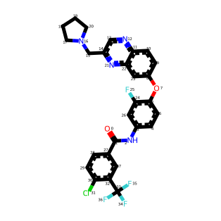 O=C(Nc1ccc(Oc2ccc3ncc(CN4CCCC4)nc3c2)c(F)c1)c1ccc(Cl)c(C(F)(F)F)c1